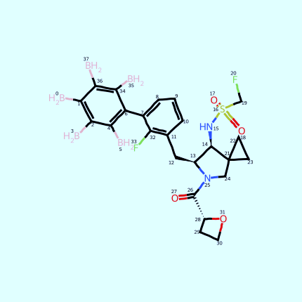 Bc1c(B)c(B)c(-c2cccc(C[C@H]3[C@@H](NS(=O)(=O)CF)C4(CC4)CN3C(=O)[C@H]3CCO3)c2F)c(B)c1B